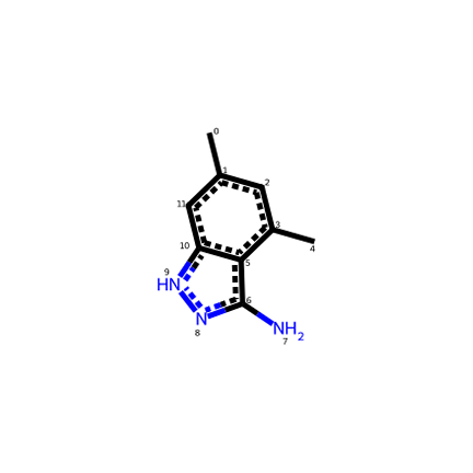 Cc1cc(C)c2c(N)n[nH]c2c1